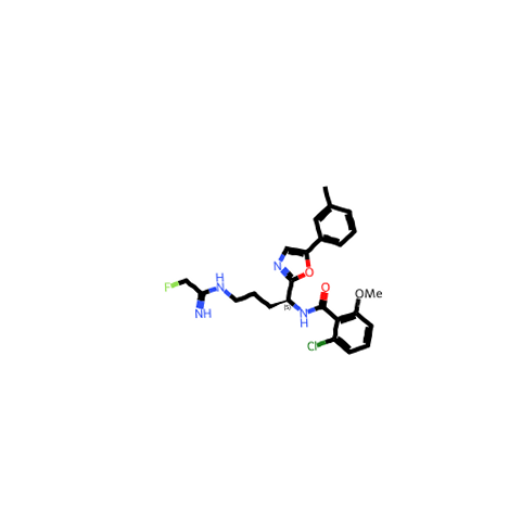 COc1cccc(Cl)c1C(=O)N[C@@H](CCCNC(=N)CF)c1ncc(-c2cccc(C)c2)o1